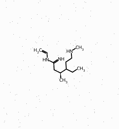 C=CNC(=N)C[C@H](C)C(CC)CCNC